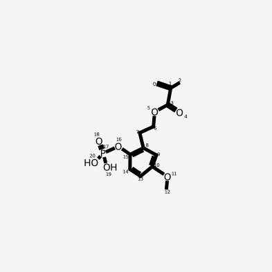 C=C(C)C(=O)OCCc1cc(OC)ccc1OP(=O)(O)O